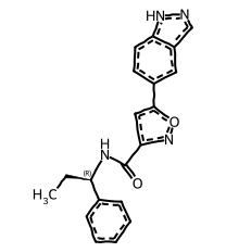 CC[C@@H](NC(=O)c1cc(-c2ccc3[nH]ncc3c2)on1)c1ccccc1